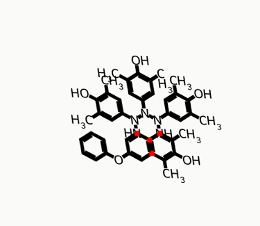 Cc1cc(NN(c2cc(C)c(O)c(C)c2)N(c2cc(C)c(O)c(C)c2)N(Nc2ccc(Oc3ccccc3)cc2)c2cc(C)c(O)c(C)c2)cc(C)c1O